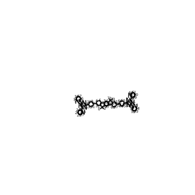 CC1(C)C2=C(CCC(C3=CC=C(c4nc(-c5ccccn5)nc(-c5ccccn5)n4)CC3)=C2)c2cc3c(cc21)C1=C(C=C(C2=CC=C(c4nc(-c5ccccn5)nc(-c5ccccn5)n4)CC2)CC1)C3(C)C